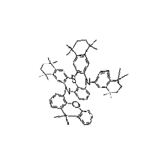 CC1(C)CCC(C)(C)c2cc(N3c4cc5c(cc4B4c6cc7c(cc6N(c6cccc8c6Oc6ccccc6C8(C)C)c6cccc3c64)C(C)(C)CCC7(C)C)C(C)(C)CCC5(C)C)ccc21